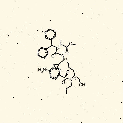 CCCN([C@H](CO)CCC[C@@H](NC(=O)[C@@H](NC(=O)OC)C(c1ccccc1)c1ccccc1)C1CC1)S(=O)(=O)c1ccc(N)cc1